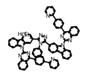 C=c1/c(=C\C(=C/C)c2nnc(-c3ccc4c5ccccc5n(-c5nc(-c6ccc(-c7ccccn7)cc6)c6ccccc6n5)c4c3)n2-c2ccccc2)n(-c2nc(-c3ccc(-c4ccccn4)cc3)c3ccccc3n2)c2ccccc12